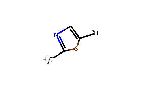 [3H]c1cnc(C)s1